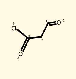 O=[C]CC(=O)Cl